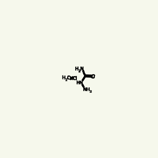 Cl.NNC(N)=O.[CaH2]